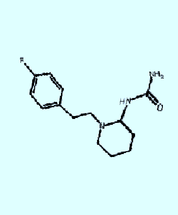 NC(=O)NC1CCCCN1CCc1ccc(F)cc1